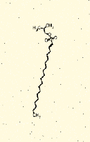 CCCCCCCCCCCCCCCCCC=CS(=O)(=O)OCC(C)C